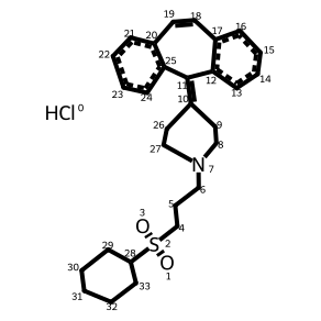 Cl.O=S(=O)(CCCN1CCC(=C2c3ccccc3C=Cc3ccccc32)CC1)C1CCCCC1